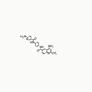 Cc1cc(N)c2cc(C(=O)Nc3ccc(NC(=O)c4ccc(N)nc4)cc3)ccc2n1